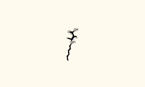 CCCCCCN/C(C)=C(\C)C(=O)O